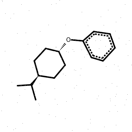 CC(C)[C@H]1CC[C@H](Oc2ccccc2)CC1